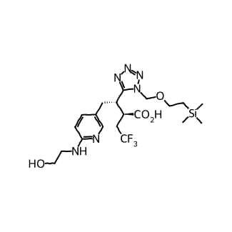 C[Si](C)(C)CCOCn1nnnc1[C@@H](Cc1ccc(NCCO)nc1)[C@H](CC(F)(F)F)C(=O)O